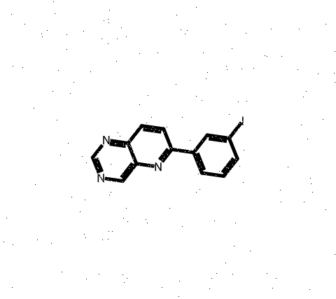 Ic1cccc(-c2ccc3ncncc3n2)c1